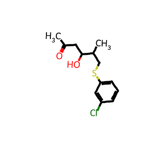 CC(=O)CC(O)C(C)CSc1cccc(Cl)c1